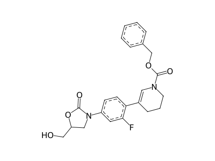 O=C(OCc1ccccc1)N1C=C(c2ccc(N3CC(CO)OC3=O)cc2F)CCC1